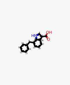 O=C(O)c1c[nH]c2c(Cc3ccccc3)cccc12